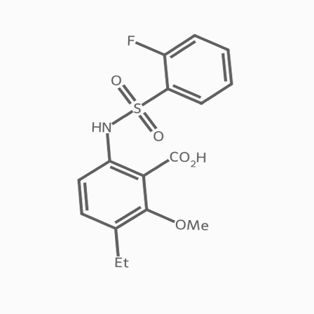 CCc1ccc(NS(=O)(=O)c2ccccc2F)c(C(=O)O)c1OC